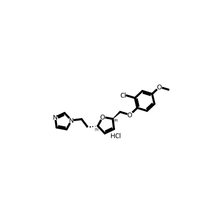 COc1ccc(OC[C@H]2C=C[C@H](CCn3ccnc3)O2)c(Cl)c1.Cl